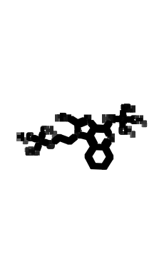 CCCCc1nc2c(N[Si](C)(C)C(C)(C)C)nc3c(c2n1CCO[Si](C)(C)C(C)(C)C)CCCC3